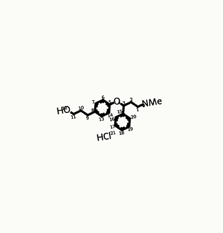 CNCCC(Oc1ccc(CCCO)cc1)c1ccccc1.Cl